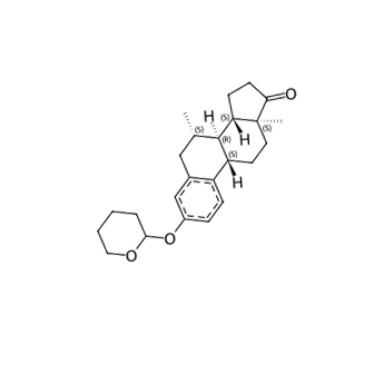 C[C@H]1Cc2cc(OC3CCCCO3)ccc2[C@H]2CC[C@]3(C)C(=O)CC[C@H]3[C@@H]21